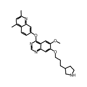 COc1cc2c(Oc3ccc4c(C)cc(C)nc4c3)ncnc2cc1OCCCC1CCNC1